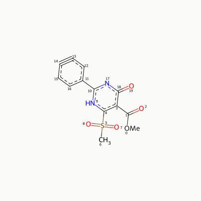 COC(=O)c1c(S(C)(=O)=O)[nH]c(-c2cc#ccc2)nc1=O